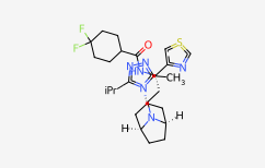 Cc1nnc(C(C)C)n1[C@@H]1C[C@H]2CC[C@@H](C1)N2CC[C@H](NC(=O)C1CCC(F)(F)CC1)c1cscn1